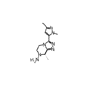 Cc1cc(-c2nnc3n2CCN(N)[C@H]3C)n(C)n1